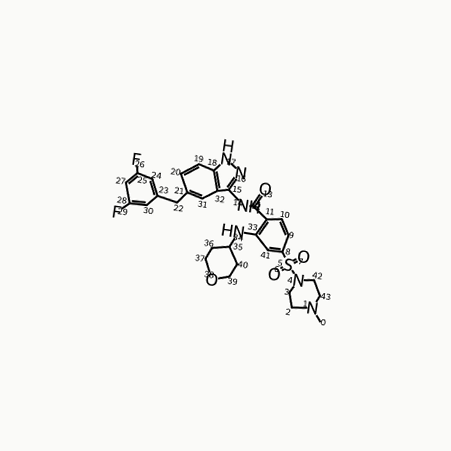 CN1CCN(S(=O)(=O)c2ccc(C(=O)Nc3n[nH]c4ccc(Cc5cc(F)cc(F)c5)cc34)c(NC3CCOCC3)c2)CC1